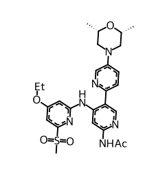 CCOc1cc(Nc2cc(NC(C)=O)ncc2-c2ccc(N3C[C@@H](C)O[C@@H](C)C3)cn2)nc(S(C)(=O)=O)c1